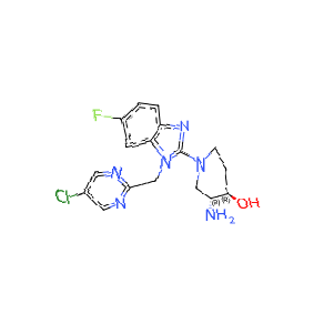 N[C@@H]1CN(c2nc3ccc(F)cc3n2Cc2ncc(Cl)cn2)CC[C@H]1O